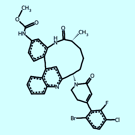 COC(=O)Nc1ccc2c(c1)NC(=O)[C@H](C)CCC[C@H](N1CCC(c3c(Br)ccc(Cl)c3F)=CC1=O)c1cc-2c2ccccc2n1